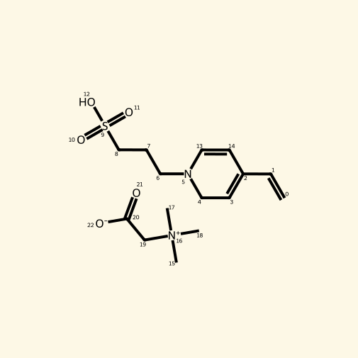 C=CC1=CCN(CCCS(=O)(=O)O)C=C1.C[N+](C)(C)CC(=O)[O-]